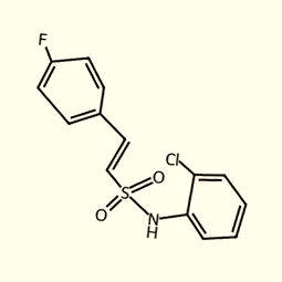 O=S(=O)(C=Cc1ccc(F)cc1)Nc1ccccc1Cl